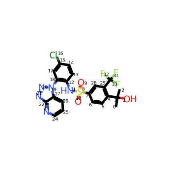 CC(C)(O)c1ccc(S(=O)(=O)Nc2ccc(Cl)cc2-n2nnc3ncccc32)cc1C(F)(F)F